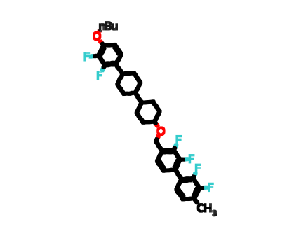 CCCCOc1ccc(C2CCC(C3CCC(OCc4ccc(-c5ccc(C)c(F)c5F)c(F)c4F)CC3)CC2)c(F)c1F